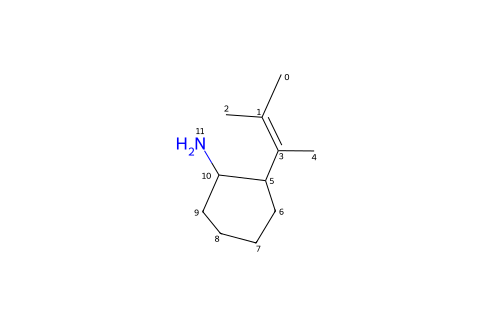 CC(C)=C(C)C1CCCCC1N